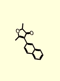 CC1=C(c2ccc3ccccc3c2)C(=O)C(C)O1